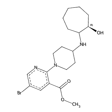 COC(=O)c1cc(Br)cnc1N1CCC(NC2CCCCC[C@H]2O)CC1